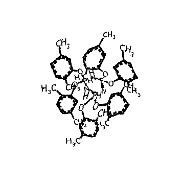 Cc1ccc(C)c(OP2(Oc3cc(C)ccc3C)=N[PH](Oc3cc(C)ccc3C)(Oc3cc(C)ccc3C)N[PH](Oc3cc(C)ccc3C)(Oc3cc(C)ccc3C)N2)c1